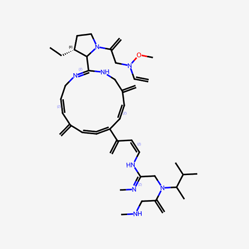 C=CN(CC(=C)N1CC[C@@H](CC)C1/C1=N/C/C=C\C(=C)C=C=C(C(=C)/C=C\N/C(CN(C(=C)CNC)C(C)C(C)C)=N\C)/C=C\C(=C)CN1)OC